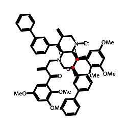 C=C(CN(CC)C(C(=C)C(=O)c1cccc(-c2ccccc2)c1)C(C)N(CC(=C)C(=O)c1cc(OC)cc(OC)c1OC)CC(=C)C(=O)c1cc(OC)cc(OC)c1OC)C(=O)c1cccc(-c2ccccc2)c1